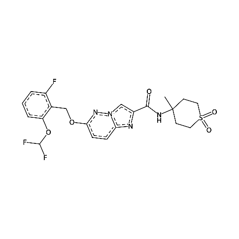 CC1(NC(=O)c2cn3nc(OCc4c(F)cccc4OC(F)F)ccc3n2)CCS(=O)(=O)CC1